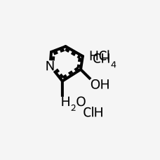 C.Cc1ncccc1O.Cl.Cl.O